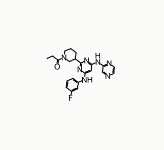 CCC(=O)N1CCCC(c2nc(Nc3cccc(F)c3)cc(Nc3cnccn3)n2)C1